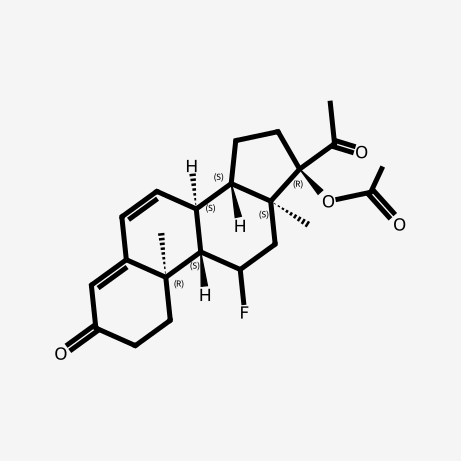 CC(=O)O[C@]1(C(C)=O)CC[C@H]2[C@@H]3C=CC4=CC(=O)CC[C@]4(C)[C@H]3C(F)C[C@@]21C